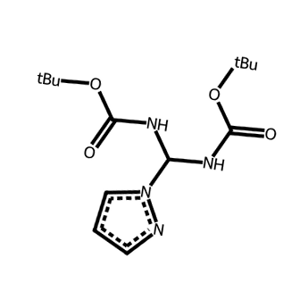 CC(C)(C)OC(=O)NC(NC(=O)OC(C)(C)C)n1cccn1